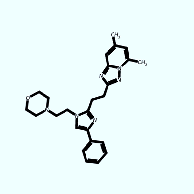 Cc1cc(C)n2nc(CCc3nc(-c4ccccc4)cn3CCN3CCOCC3)nc2c1